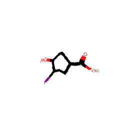 O=C(O)C1CC(O)C(I)C1